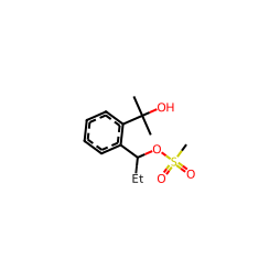 CCC(OS(C)(=O)=O)c1ccccc1C(C)(C)O